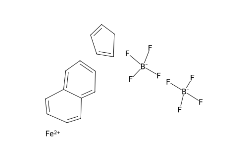 C1=CCC=C1.F[B-](F)(F)F.F[B-](F)(F)F.[Fe+2].c1ccc2ccccc2c1